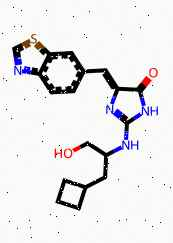 O=C1NC(NC(CO)CC2CCC2)=N/C1=C\c1ccc2ncsc2c1